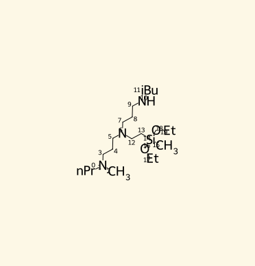 CCCN(C)CCCN(CCCNC(C)CC)CC[Si](C)(OCC)OCC